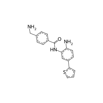 NCc1ccc(C(=O)Nc2cc(-c3cccs3)ccc2N)cc1